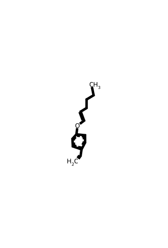 C=Cc1ccc(O/C=C/CCCC)cc1